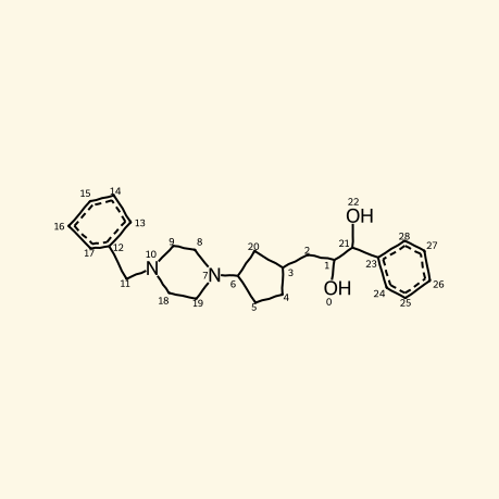 OC(CC1CCC(N2CCN(Cc3ccccc3)CC2)C1)C(O)c1ccccc1